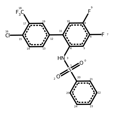 O=S(=O)(Nc1cc(F)c(F)cc1-c1ccc(Cl)c(C(F)(F)F)c1)c1ccccc1